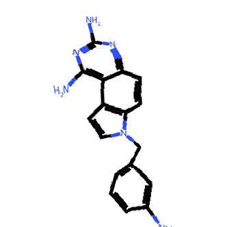 Nc1cccc(Cn2ccc3c4c(N)nc(N)nc4ccc32)c1